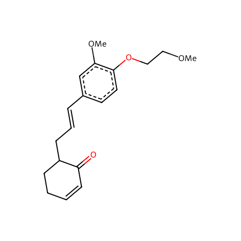 COCCOc1ccc(/C=C/CC2CCC=CC2=O)cc1OC